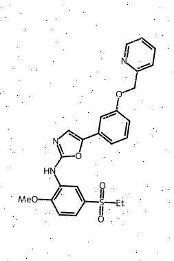 CCS(=O)(=O)c1ccc(OC)c(Nc2ncc(-c3cccc(OCc4ccccn4)c3)o2)c1